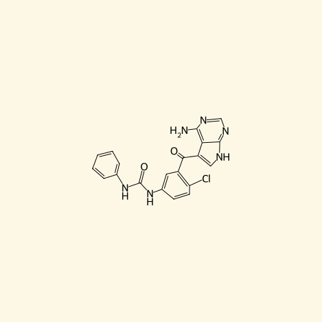 Nc1ncnc2[nH]cc(C(=O)c3cc(NC(=O)Nc4ccccc4)ccc3Cl)c12